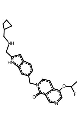 CC(F)Oc1cncc2c(=O)n(Cc3ccc4cc(CNCC5CCC5)[nH]c4c3)ccc12